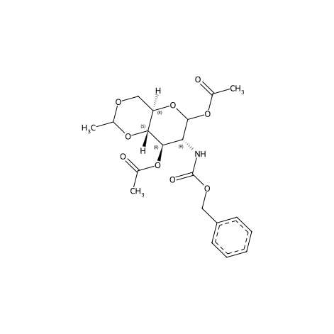 CC(=O)OC1O[C@@H]2COC(C)O[C@H]2[C@H](OC(C)=O)[C@H]1NC(=O)OCc1ccccc1